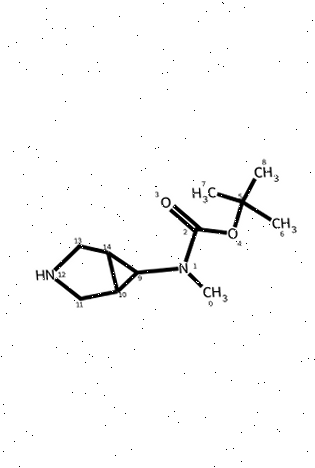 CN(C(=O)OC(C)(C)C)C1C2CNCC21